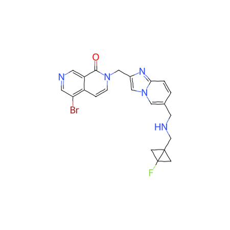 O=c1c2cncc(Br)c2ccn1Cc1cn2cc(CNCC34CC3(F)C4)ccc2n1